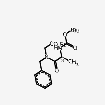 CCOC(=O)CN(Cc1ccccc1)C(=O)[C@H](C)NC(=O)OC(C)(C)C